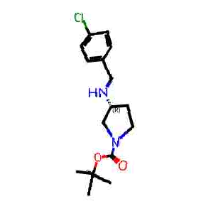 CC(C)(C)OC(=O)N1CC[C@@H](NCc2ccc(Cl)cc2)C1